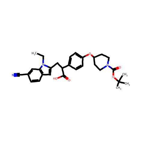 CCn1c(CC(C(=O)O)c2ccc(OC3CCN(C(=O)OC(C)(C)C)CC3)cc2)cc2ccc(C#N)cc21